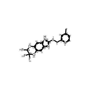 Cc1ccnc(CSc2nc3cc4c(cc3[nH]2)OC(F)C(F)(F)O4)c1